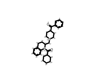 O=C(c1ccccc1)C1CCN(CC2CCc3ccccc3N2C(=O)C2CCCCC2)CC1